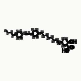 CCCCc1ccc(C#Cc2ccc(CCCCCCCN=C3C=C(C(=O)O)C(O)=CC3)cc2)cc1